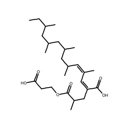 CCC(C)CC(C)CC(C)CC(C)C=C(C)C=C(CC(C)C(=O)OCCC(=O)O)C(=O)O